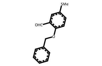 CSc1ccc(OCc2ccccc2)c(C=O)c1